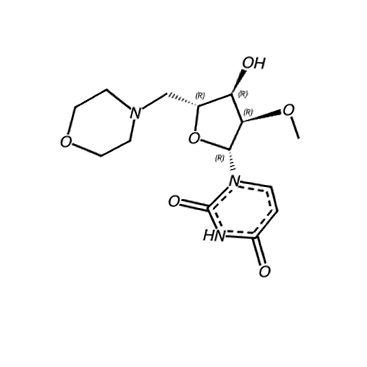 CO[C@@H]1[C@H](O)[C@@H](CN2CCOCC2)O[C@H]1n1ccc(=O)[nH]c1=O